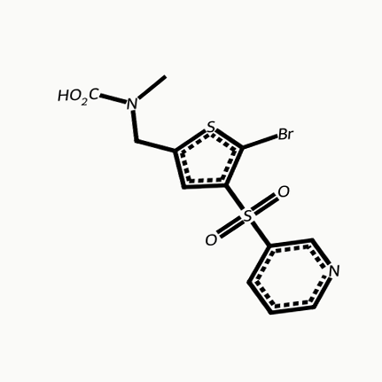 CN(Cc1cc(S(=O)(=O)c2cccnc2)c(Br)s1)C(=O)O